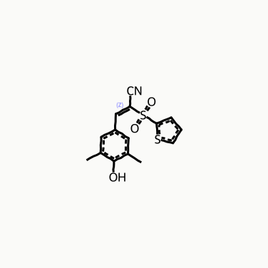 Cc1cc(/C=C(/C#N)S(=O)(=O)c2cccs2)cc(C)c1O